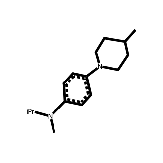 CC1CCN(c2ccc(N(C)C(C)C)cc2)CC1